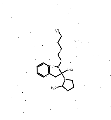 CC1CCCN1C(C=O)(Cc1ccccc1)N(SCCCCN)C(=O)O